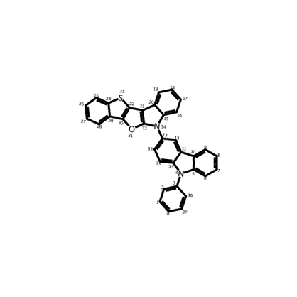 c1ccc(-n2c3ccccc3c3cc(-n4c5ccccc5c5c6sc7ccccc7c6oc54)ccc32)cc1